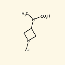 CC(=O)N1CC(N(C)C(=O)O)C1